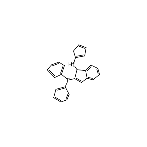 C1=CC[C]([Hf][CH]2C(P(c3ccccc3)c3ccccc3)=Cc3ccccc32)=C1